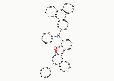 C1=Cc2c(c3cc(N(c4ccccc4)c4cccc5c4oc4cc(-c6ccccc6)c6ccccc6c45)ccc3c3ccccc23)CC1